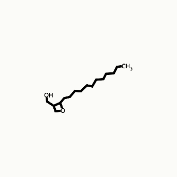 CCCCCCCCCCCCC1OCC1CO